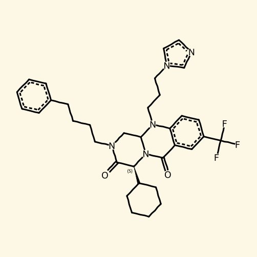 O=C1[C@H](C2CCCCC2)N2C(=O)c3cc(C(F)(F)F)ccc3N(CCCn3ccnc3)C2CN1CCCCc1ccccc1